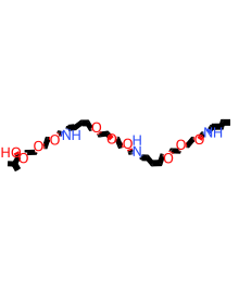 C=C/C=C/NCOCCOCCOC/C=C\C=C\NCOCCOCCOC/C=C\C=C\NCOCCOCCOC(O)C(=C)C